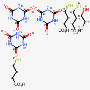 O=C(O)CCCS.O=C(O)CCCS.O=C(O)CCCS.O=c1[nH]c(=O)[nH]c(=O)[nH]1.O=c1[nH]c(=O)[nH]c(=O)[nH]1.O=c1[nH]c(=O)[nH]c(=O)[nH]1.OCCO